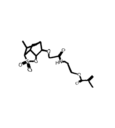 C=C(C)C(=O)OCCNC(=O)COC1C2CC3C1OS(=O)(=O)C3C2C